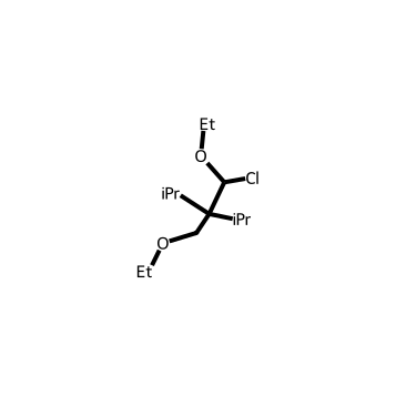 CCOCC(C(C)C)(C(C)C)C(Cl)OCC